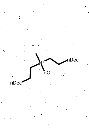 CCCCCCCCCCCC[N+](C)(CCCCCCCC)CCCCCCCCCCCC.[F-]